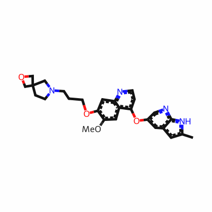 COc1cc2c(Oc3cnc4[nH]c(C)cc4c3)ccnc2cc1OCCCN1CCC2(COC2)C1